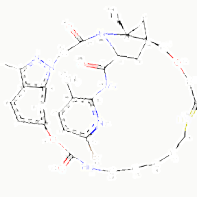 CC(=O)c1nn2c3cc(ccc13)OC(=O)NCCCCC/[SH]=C/COC[C@@]13C[C@@H](C(=O)Nc4nc(Br)ccc4C)N(C(=O)C2)[C@@H]1C3